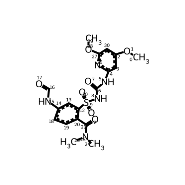 COc1cc(NC(=O)NS(=O)(=O)c2cc(NC=O)ccc2C(=O)N(C)C)nc(OC)c1